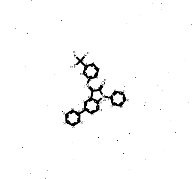 O=C1C(=Nc2cccc(C(F)(F)F)c2)c2cc(-c3ccccc3)ccc2N1c1ccccc1